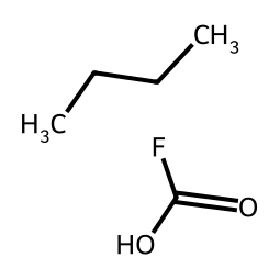 CCCC.O=C(O)F